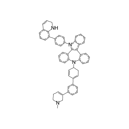 CN1CCC=C(c2cccc(C3=CCC(N4c5ccccc5-c5c(n(-c6ccc(-c7cccc8c7NCC=C8)cc6)c6ccccc56)-c5ccccc54)C=C3)c2)C1